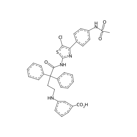 CS(=O)(=O)Nc1ccc(-c2nc(NC(=O)C(CCNc3cccc(C(=O)O)c3)(c3ccccc3)c3ccccc3)sc2Cl)cc1